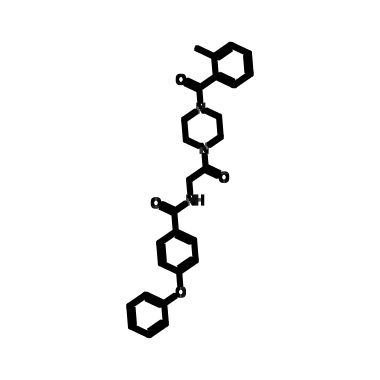 Cc1ccccc1C(=O)N1CCN(C(=O)CNC(=O)c2ccc(Oc3ccccc3)cc2)CC1